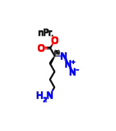 CCCOC(=O)[C@H](CCCCN)N=[N+]=[N-]